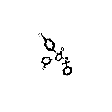 CC(C)(N[C@@H]1C[C@H](c2cccc(Cl)c2)N(c2ccc(Cl)cc2)C1=O)c1ccccc1